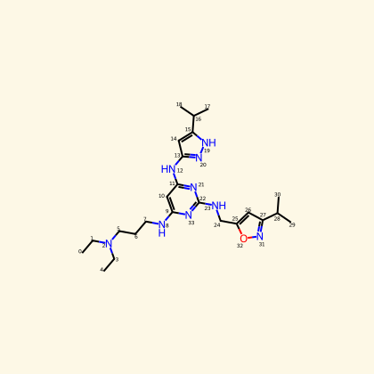 CCN(CC)CCCNc1cc(Nc2cc(C(C)C)[nH]n2)nc(NCc2cc(C(C)C)no2)n1